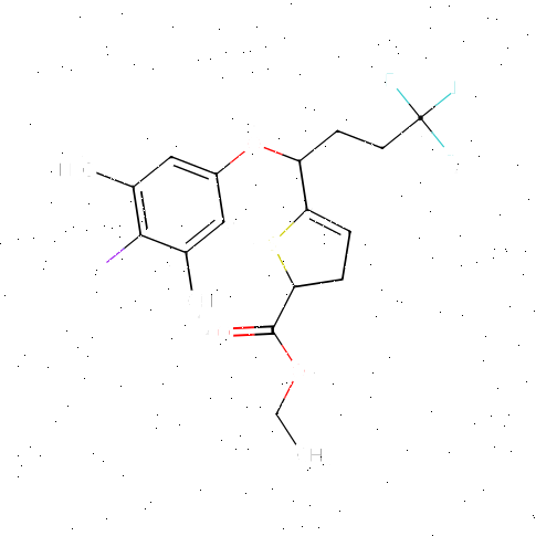 CCOC(=O)C1CC=C(C(CCC(F)(F)F)Oc2cc(C)c(I)c(C)c2)S1